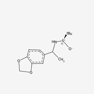 CC(N[S@+]([O-])C(C)(C)C)c1ccc2c(c1)OCO2